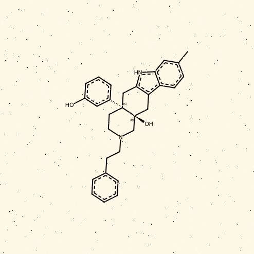 Cc1ccc2c3c([nH]c2c1)C[C@]1(c2cccc(O)c2)CCN(CCc2ccccc2)C[C@@]1(O)C3